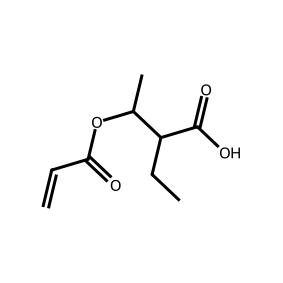 C=CC(=O)OC(C)C(CC)C(=O)O